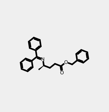 C[C@H](CCC(=O)OCc1ccccc1)N=C(c1ccccc1)c1ccccc1